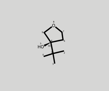 CC(C)(C)[C@@]1(O)CCOC1